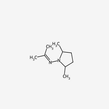 CC(C)=NN1C(C)CCC1C